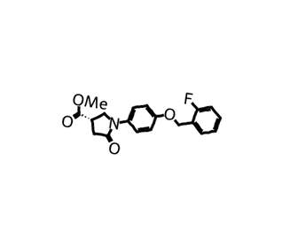 COC(=O)[C@H]1CC(=O)N(c2ccc(OCc3ccccc3F)cc2)C1